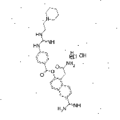 Cl.Cl.Cl.N=C(NCCN1CCCCC1)Nc1ccc(C(=O)Oc2ccc3cc(C(=N)N)ccc3c2CC(N)=O)cc1